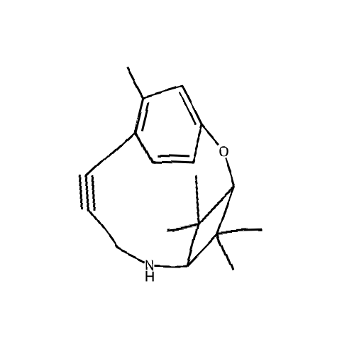 Cc1cc2ccc1C#CCNC1C(C)(C)C(O2)C1(C)C